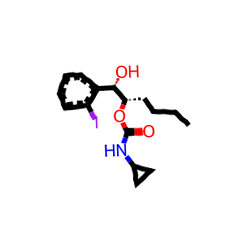 CCCC[C@H](OC(=O)NC1CC1)[C@@H](O)c1ccccc1I